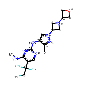 CCNc1nc(Nc2cn(C3CN(C4COC4)C3)nc2C)ncc1C(F)(F)CF